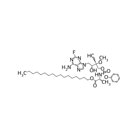 C#C[C@](COP(=O)(N[C@@H](C)C(=O)OCCCCCCCCCCCCCCCCC)Oc1ccccc1)(OC)[C@@H](O)Cn1cnc2c(N)nc(F)nc21